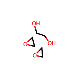 C1CO1.C1CO1.OCCO